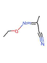 CCON=C(C)C#N